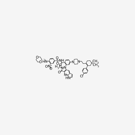 Cn1c(=O)c2nc3[nH]ccc3cc2n1-c1cc(N2CCN(CCC3=C(c4ccc(Cl)cc4)CC(C)(C)CC3)CC2)ccc1C(=O)NS(=O)(=O)c1ccc(NC[C@H]2COCCO2)c([N+](=O)[O-])c1